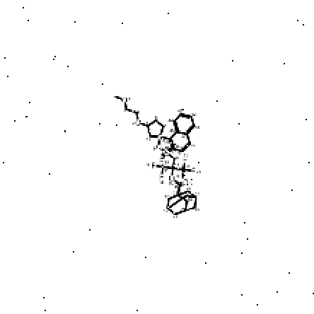 COCCOC1CCS(OS(=O)(=O)CC(OC(=O)C23CC4CC(CC(C4)C2)C3)(C(F)(F)F)C(F)(F)F)(c2cccc3ccccc23)C1